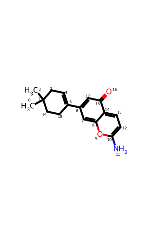 CC1(C)CC=C(c2cc3oc(N)ccc-3c(=O)c2)CC1